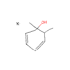 CC1C=CC=CC1(C)O.[K]